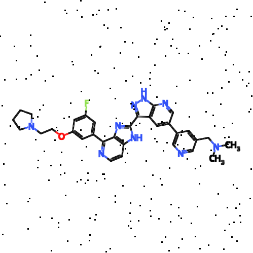 CN(C)Cc1cncc(-c2cnc3[nH]nc(-c4nc5c(-c6cc(F)cc(OCCN7CCCC7)c6)nccc5[nH]4)c3c2)c1